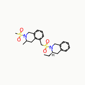 CC[C@@H]1Cc2ccccc2CN1S(=O)(=O)Cc1cccc2c1CC(C)N(S(C)(=O)=O)C2